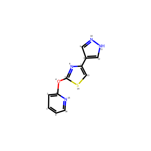 c1ccc(Oc2nc(-c3cn[nH]c3)cs2)nc1